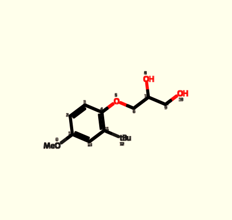 COc1ccc(OCC(O)[CH]O)c(C(C)(C)C)c1